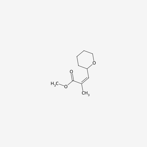 COC(=O)C(C)=CC1CCCCO1